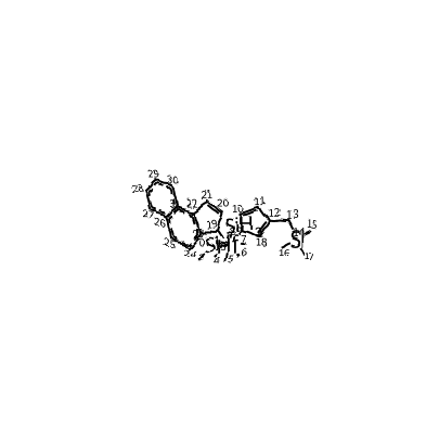 C[Si](C)=[Hf]([CH3])([CH3])([CH3])([CH3])(=[SiH2])([CH]1C=CC(C[Si](C)(C)C)=C1)[CH]1C=Cc2c1ccc1ccccc21